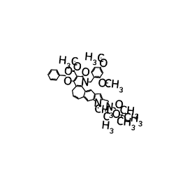 CCN(Cc1cc2cc3c(cc2n1C)C=CCc1c(OCc2ccccc2)c(C(=O)OC)c(=O)n(Cc2ccc(OC)cc2OC)c1-3)C(=O)OC(C)(C)C